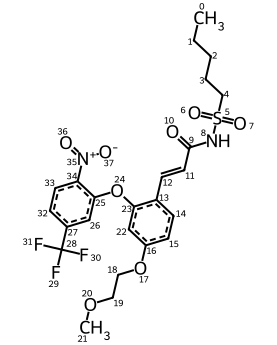 CCCCCS(=O)(=O)NC(=O)/C=C/c1ccc(OCCOC)cc1Oc1cc(C(F)(F)F)ccc1[N+](=O)[O-]